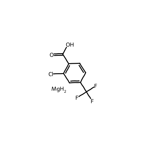 O=C(O)c1ccc(C(F)(F)F)cc1Cl.[MgH2]